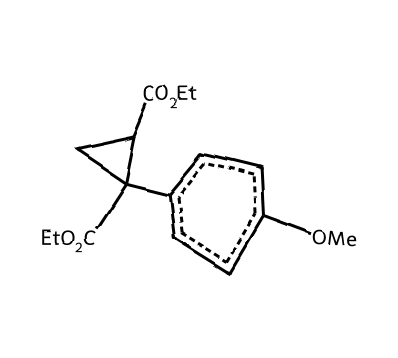 CCOC(=O)C1CC1(C(=O)OCC)c1ccc(OC)cc1